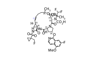 COc1cc(F)cc2c(O[C@@H]3C[C@H]4C(=O)N[C@]5(C(=O)NS(=O)(=O)C6(CF)CC6)C[C@H]5/C=C\CC[C@@H](C)O[C@@H](C)[C@H](N(C(=O)O)C(C)(C)C(F)F)C(=O)N4C3)nccc12